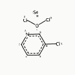 ClOCl.Clc1cccnc1.[Se]